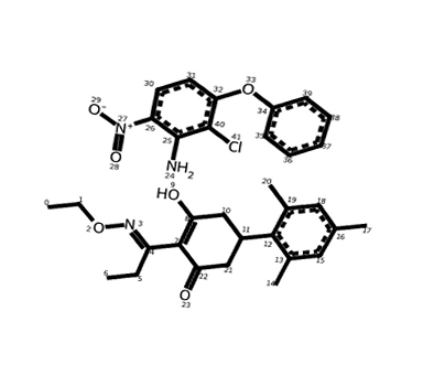 CCO/N=C(\CC)C1=C(O)CC(c2c(C)cc(C)cc2C)CC1=O.Nc1c([N+](=O)[O-])ccc(Oc2ccccc2)c1Cl